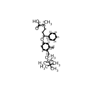 CN(CCC(Oc1ccc(CO[Si](C)(C)C(C)(C)C)c(F)c1)c1ccccc1)C(=O)O